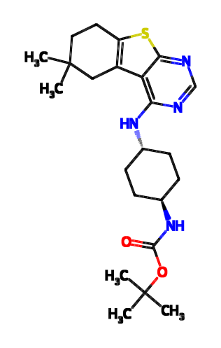 CC1(C)CCc2sc3ncnc(N[C@H]4CC[C@H](NC(=O)OC(C)(C)C)CC4)c3c2C1